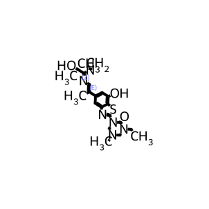 C=N/C(=N\C=C(/C)c1cc(O)c2sc(N3CN(C)CN(CC)C3=O)nc2c1)C(C)(C)O